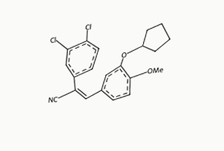 COc1ccc(C=C(C#N)c2ccc(Cl)c(Cl)c2)cc1OC1CCCC1